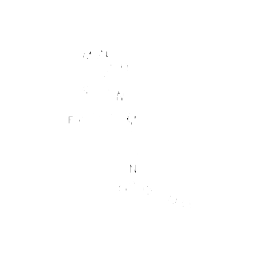 CNC(=O)c1csc2c(C(F)(F)F)cc(OC3CC4(C3)CN(C(=O)OCC(C)OC(F)(F)F)C4)nc12